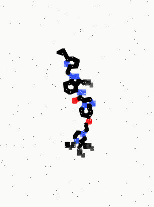 Cc1nn(Cc2cccc(C3CC3)n2)c2cccc(NC(=O)c3cnc4cc(OCCN5CCN(C)C(C)(C)C5)ccn34)c12